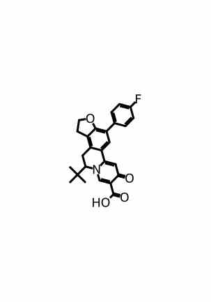 CC(C)(C)C1Cc2c(cc(-c3ccc(F)cc3)c3c2CCO3)-c2cc(=O)c(C(=O)O)cn21